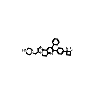 NC1(c2ccc(-c3nc4ccn5c(CN6CCNCC6)cnc5c4cc3-c3ccccc3)cc2)CCC1